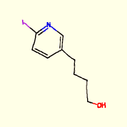 OCCCCc1ccc(I)nc1